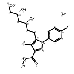 CC(C)NC(=O)c1nn(-c2ccc(F)cc2)c(CC[C@@H](O)C[C@@H](O)CC(=O)[O-])c1C(C)C.[Na+]